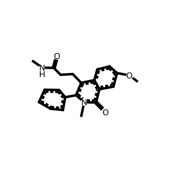 CNC(=O)CCc1c(-c2ccccc2)n(C)c(=O)c2cc(OC)ccc12